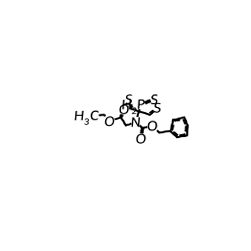 CCOC(=O)CN(C(=O)OCc1ccccc1)C(C=S)(C=S)[PH2]=S